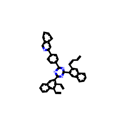 C=C/C=C\c1cc2ccccc2cc1-c1nc(-c2ccc(-c3cc4ccccc4cn3)cc2)nc(-c2cc3ccccc3c(C=C)c2C=C)n1